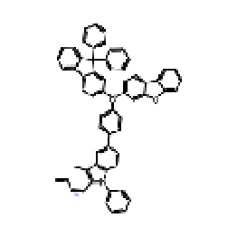 C=C/C=C\c1c(C)c2cc(-c3ccc(N(c4ccc5c(c4)C(c4ccccc4)(c4ccccc4)c4ccccc4-5)c4ccc5c(c4)oc4ccccc45)cc3)ccc2n1-c1ccccc1